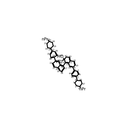 CCCC1CCC(c2ccc(-c3ccc4c(c3)=C(c3cccc5ccc(-c6ccc(C7CCC(CCC)CC7)cc6)cc35)C(O)(O)CC=4)cc2)CC1